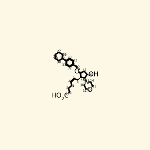 O=C(O)CCC/C=C\C[C@@H]1[C@@H](N2CCOCC2)[C@@H](O)C[C@@H]1OCc1ccc(C2CCCCC2)cc1